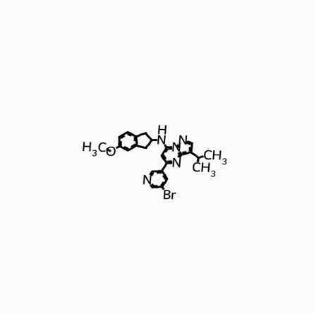 COc1ccc2c(c1)CC(Nc1cc(-c3cncc(Br)c3)nc3c(C(C)C)cnn13)C2